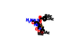 CC(=O)OCC1=C(C(=O)OC(C)(C)C)N2C(=O)[C@H](NC(=O)/C(=N\OC(=O)c3ccc(OC(C)=O)c(OC(C)=O)c3)c3coc(N)n3)[C@H]2SC1